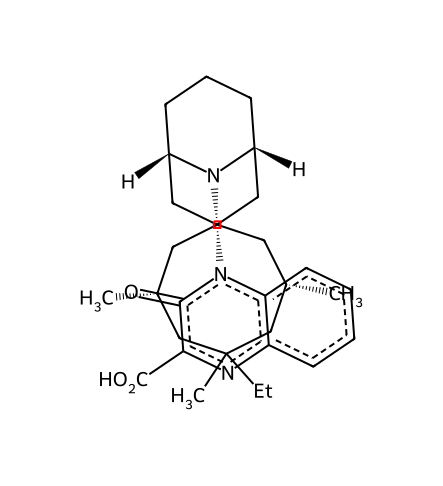 CCC1(C)C[C@H](C)C[C@H](N2[C@@H]3CCC[C@H]2C[C@@H](n2c(=O)c(C(=O)O)nc4ccccc42)C3)C[C@H](C)C1